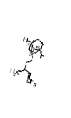 C=CC(C)CC[C@@H]1C[C@@H]2CC[C@H]1O2